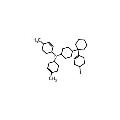 CC1=CCC(N(C2C=CC(C)CC2)C2CCC(C3(C4=CCC(I)CC4)CCCCC3)CC2)CC1